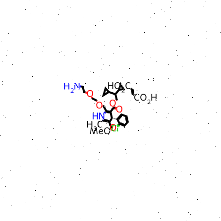 COC(=O)C1=C(C)NC(COCCOCCN)=C(C(=O)OCC(C2CC2)C2CC2)[C@@H]1c1ccccc1Cl.O=C(O)C=CC(=O)O